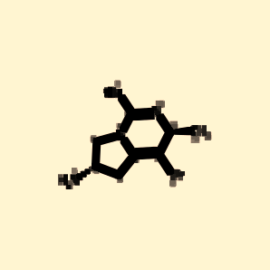 CC(C)C1=C2C[C@H](N)CN2C(C(C)(C)C)=N[C@H]1C